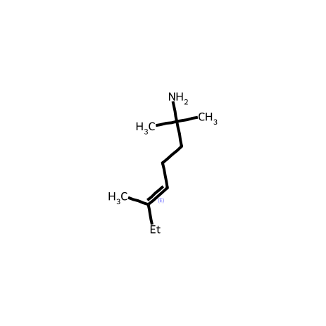 CC/C(C)=C/CCC(C)(C)N